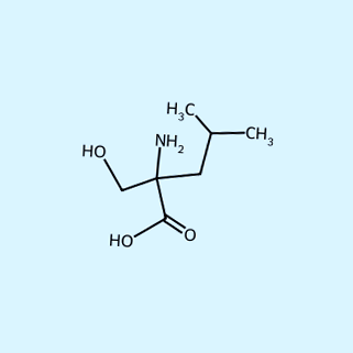 CC(C)CC(N)(CO)C(=O)O